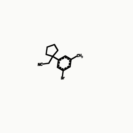 Cc1cc(Br)cc(C2(CC#N)CCCC2)c1